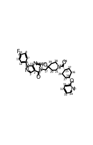 O=c1c2cnn(-c3ccc(F)cc3)c2ncn1CC1(O)CCN(C(=O)[C@H]2CC[C@H](Oc3ccccn3)CC2)CC1